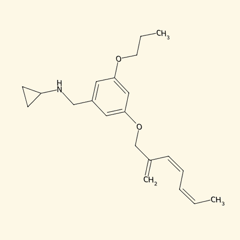 C=C(/C=C\C=C/C)COc1cc(CNC2CC2)cc(OCCC)c1